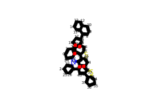 c1cc(-c2ccc(-c3cccc4ccccc34)cc2)cc(N(c2ccccc2-c2ccc3sc4ccccc4c3c2)c2cccc3sc4ccccc4c23)c1